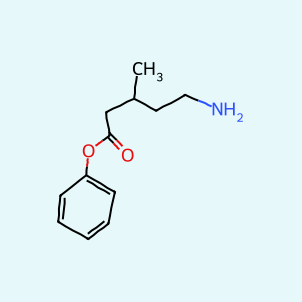 CC(CCN)CC(=O)Oc1ccccc1